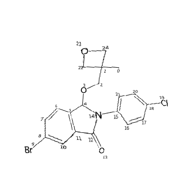 CC1(COC2c3ccc(Br)cc3C(=O)N2c2ccc(Cl)cc2)COC1